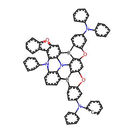 c1ccc(N(c2ccccc2)c2ccc3c(c2)Oc2cc4c5c6c2B3c2cccc3c2N6c2c(cc6oc7ccccc7c6c2N3c2ccccc2)B5c2ccc(N(c3ccccc3)c3ccccc3)cc2O4)cc1